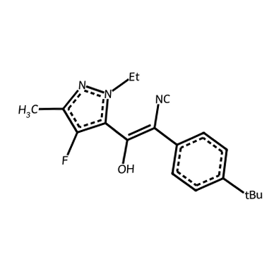 [C-]#[N+]C(=C(O)c1c(F)c(C)nn1CC)c1ccc(C(C)(C)C)cc1